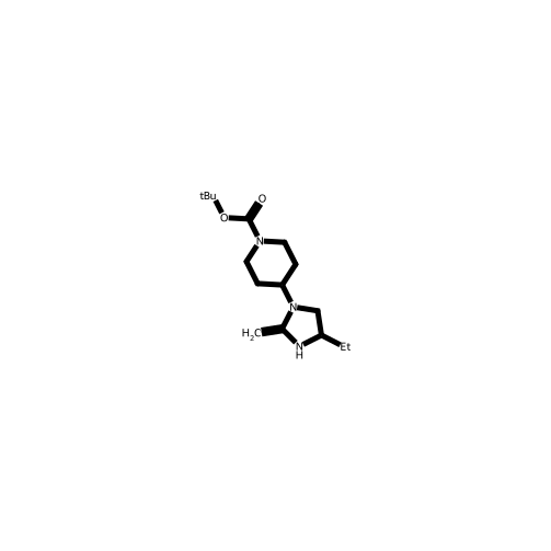 C=C1NC(CC)CN1C1CCN(C(=O)OC(C)(C)C)CC1